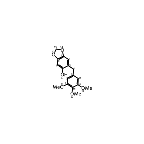 COc1cc(Cc2cc3c(cc2O)OCO3)cc(OC)c1OC